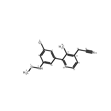 CONc1cc(Cl)cc(-c2nccc(CC#N)c2C)c1